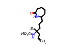 C=CCC(CCCC1CCCCC(=O)N1)(NC(=O)O)C(C)(C)C